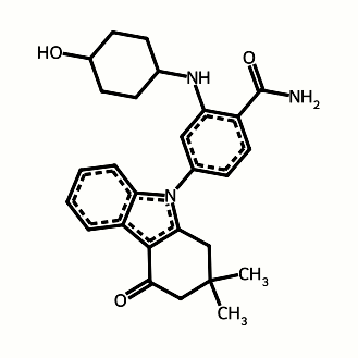 CC1(C)CC(=O)c2c(n(-c3ccc(C(N)=O)c(NC4CCC(O)CC4)c3)c3ccccc23)C1